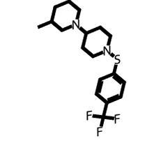 CC1CCCN(C2CCN(Sc3ccc(C(F)(F)F)cc3)CC2)C1